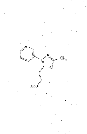 CC(=O)OCCc1oc(C)nc1-c1ccccc1